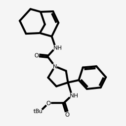 CC(C)(C)OC(=O)NC1(c2ccccc2)CCN(C(=O)NC2C=CC3CCCC2C3)C1